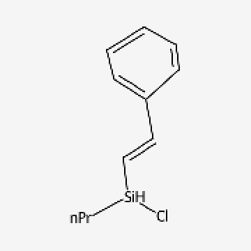 CCC[SiH](Cl)C=Cc1ccccc1